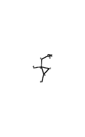 CC1CC1(C)CO